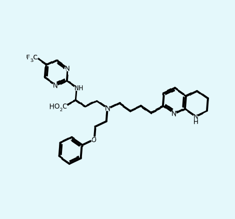 O=C(O)C(CCN(CCCCc1ccc2c(n1)NCCC2)CCOc1ccccc1)Nc1ncc(C(F)(F)F)cn1